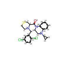 O=C(C1CSCCN1Cc1cc(Cl)ccc1Cl)N1CCN(C2CC2)c2ccccc21